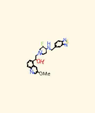 COc1cnc2cccc(C(O)CN3CCC(NCc4ccc5nsnc5c4)C(F)C3)c2c1